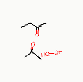 CC(C)=O.CCC(C)=O.OO